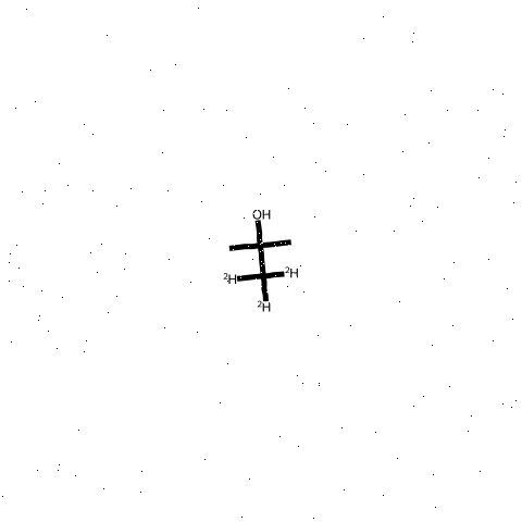 [2H]C([2H])([2H])C(C)(C)O